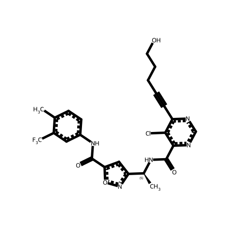 Cc1ccc(NC(=O)c2cc([C@H](C)NC(=O)c3ncnc(C#CCCCO)c3Cl)no2)cc1C(F)(F)F